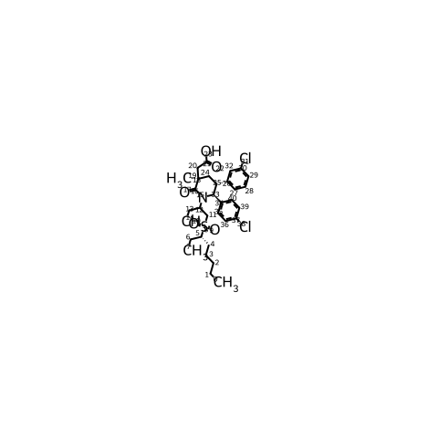 CCCCC[C@H](CC)S(=O)(=O)CC(CC)N1C(=O)[C@@](C)(CC(=O)O)C[C@H](c2cccc(Cl)c2)[C@H]1c1ccc(Cl)cc1